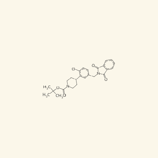 CC(C)(C)OC(=O)N1CCC(c2cc(CN3C(=O)c4ccccc4C3=O)ccc2Cl)CC1